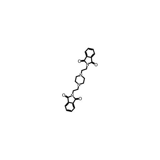 O=C1c2ccccc2C(=O)N1CCN1CCN(CCN2C(=O)c3ccccc3C2=O)CC1